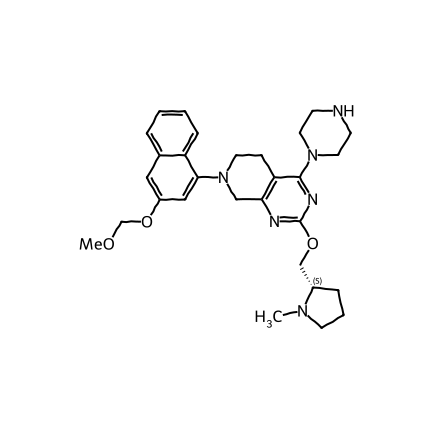 COCOc1cc(N2CCc3c(nc(OC[C@@H]4CCCN4C)nc3N3CCNCC3)C2)c2ccccc2c1